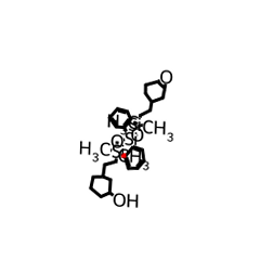 C[Si](C)(CCC1CCCC(O)C1)O[Si](O[Si](C)(C)CCC1CCC2OC2C1)(c1ccccc1)c1ccccc1